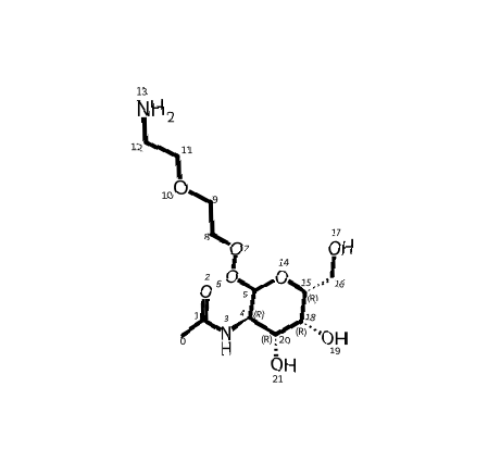 CC(=O)N[C@H]1C(OOCCOCCN)O[C@H](CO)[C@H](O)[C@@H]1O